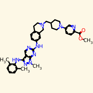 COC(=O)c1ccc(N2CCC(CN3CCc4ccc(Nc5ncc6c(Nc7c(C)cccc7C)nn(C)c6n5)cc4C3)CC2)cn1